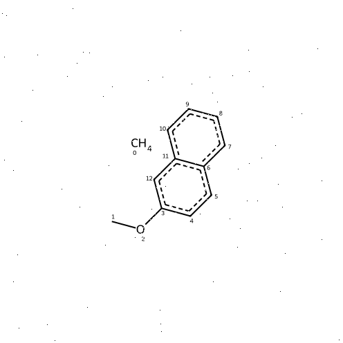 C.COc1ccc2ccccc2c1